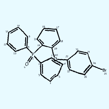 O=P(c1ccccc1)(c1ccccc1)c1ccccc1Oc1ccc(Br)cc1